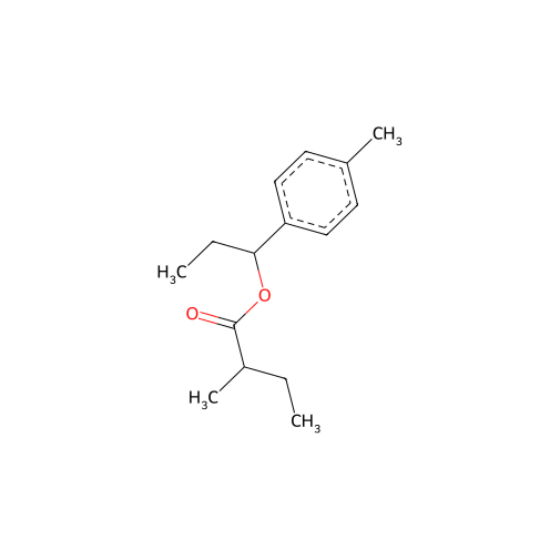 CCC(C)C(=O)OC(CC)c1ccc(C)cc1